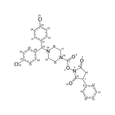 O=C(ON1C(=O)CC(c2ccccc2)C1=O)N1CCN(C(c2ccc(Cl)cc2)c2ccc(Cl)cc2)CC1